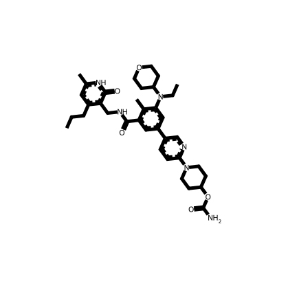 CCCc1cc(C)[nH]c(=O)c1CNC(=O)c1cc(-c2ccc(N3CCC(OC(N)=O)CC3)nc2)cc(N(CC)C2CCOCC2)c1C